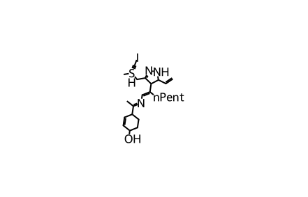 C=CC1NN=C(C[SH](C)#CI)C1/C(=C/N=C(\C)C1C=CC(O)CC1)CCCCC